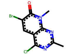 Cc1nc(Cl)c2cc(Br)c(=O)n(C)c2n1